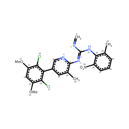 C=N/C(=N\c1ncc(-c2c(Cl)c(OC)cc(OC)c2Cl)cc1C)Nc1c(C)cccc1[N+](=O)[O-]